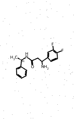 C[C@@H](NC(=O)CC(N)c1ccc(F)c(F)c1)c1ccccc1